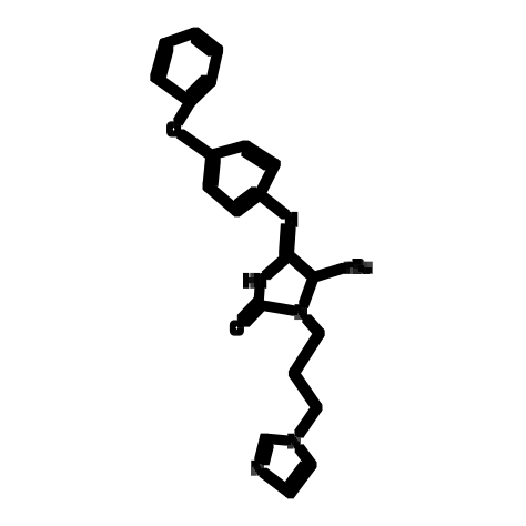 CCCCC1C(=Nc2ccc(Oc3ccccc3)cc2)NC(=O)N1CCCn1ccnc1